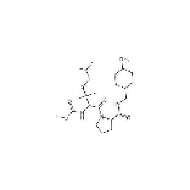 COC(=O)NC(C(=O)N1CCCC1C(=O)NCC1CCC(N)CC1)C(C)(C)SCC(C)C